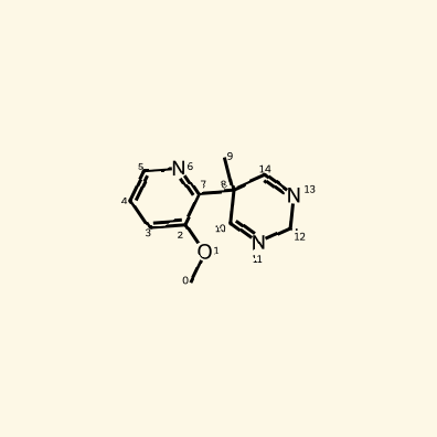 COc1cccnc1C1(C)C=N[CH]N=C1